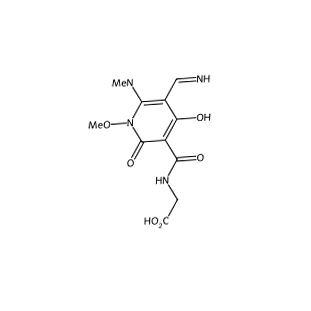 CNc1c(C=N)c(O)c(C(=O)NCC(=O)O)c(=O)n1OC